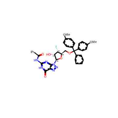 COc1ccc(C(OC[C@H]2O[C@@H](n3nnc4c(=O)[nH]c(NC(=O)C(C)C)nc43)[C@H](O)[C@@H]2F)(c2ccccc2)c2ccc(OC)cc2)cc1